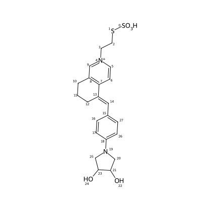 O=S(=O)(O)SCC[n+]1ccc2c(c1)CCC/C2=C\c1ccc(N2CC(O)C(O)C2)cc1